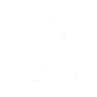 COc1ccc(C(CC(N)=O)N2C(=O)c3ccccc3C2=O)cc1OC1CCC2CCC1C2